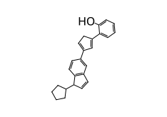 Oc1ccccc1C1=CC(c2ccc3c(c2)C=CC3C2CCCC2)=CC1